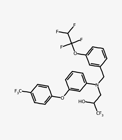 OC(CN(Cc1cccc(OC(F)(F)C(F)F)c1)c1cccc(Oc2ccc(C(F)(F)F)cc2)c1)C(F)(F)F